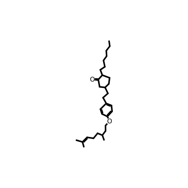 CCCCCCCC1CCC(CCc2ccc(OCCC(C)CCC=C(C)C)cc2)CC1=O